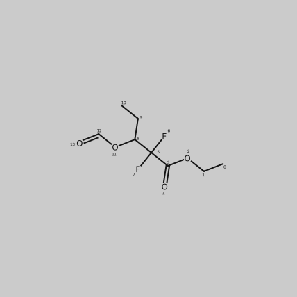 CCOC(=O)C(F)(F)C(CC)OC=O